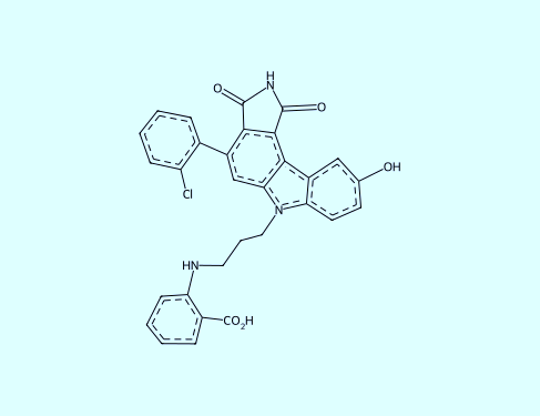 O=C(O)c1ccccc1NCCCn1c2ccc(O)cc2c2c3c(c(-c4ccccc4Cl)cc21)C(=O)NC3=O